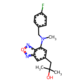 CN(Cc1ccc(F)cc1)c1cc(CC(C)(C)O)cc2nonc12